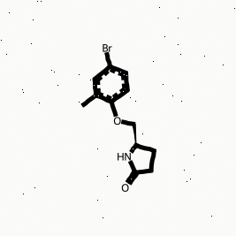 Cc1cc(Br)ccc1OC[C@H]1CCC(=O)N1